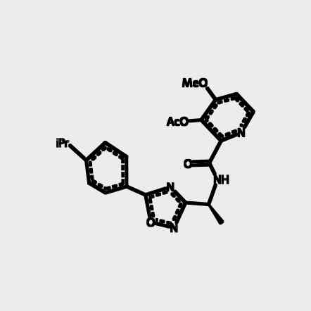 COc1ccnc(C(=O)N[C@@H](C)c2noc(-c3ccc(C(C)C)cc3)n2)c1OC(C)=O